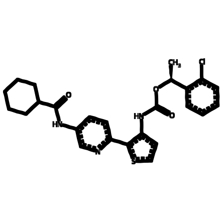 C[C@H](OC(=O)Nc1ccsc1-c1ccc(NC(=O)C2CCCCC2)cn1)c1ccccc1Cl